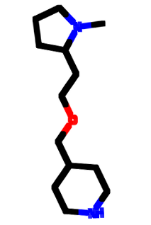 CN1CCCC1CCOCC1CCNCC1